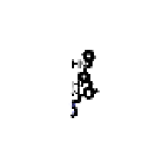 C/C=C\C=C/CC(NC)C1=CC(Cc2cc(C3Cc4ccccc4N3)ccc2C)=C(C)CC1